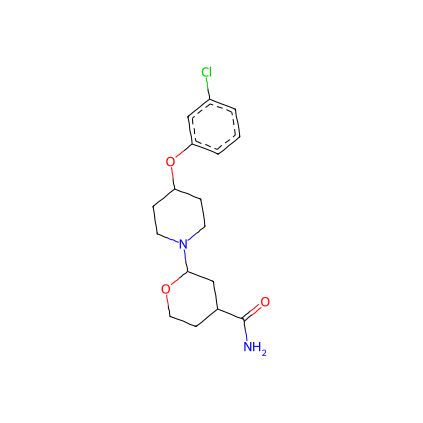 NC(=O)C1CCOC(N2CCC(Oc3cccc(Cl)c3)CC2)C1